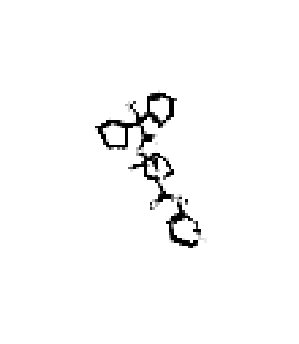 O=C(O[C@H]1C[N+]2(C(=O)Nc3cccnn3)CCC1CC2)C(O)(c1ccccc1)C1CCCC1